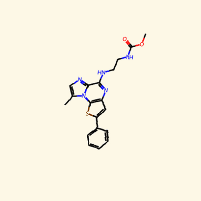 COC(=O)NCCNc1nc2cc(-c3ccccc3)sc2n2c(C)cnc12